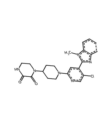 Cn1c(-c2cc(N3CCC(N4CCNC(=O)C4=O)CC3)ncc2Cl)nc2ccccc21